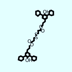 O=C(CCSSCCC(=O)OCCCc1cc(C2CCCCC2)c(O)c(C2CCCCC2)c1)OCCCc1cc(C2CCCCC2)c(O)c(C2CCCCC2)c1